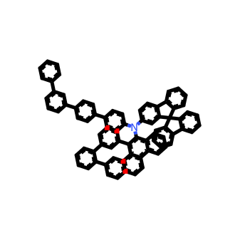 c1ccc(-c2cccc(-c3ccc(-c4ccc(N(c5ccc6c(c5)C5(c7ccccc7-c7ccccc75)c5ccccc5-6)c5c(-c6cccc(-c7ccccc7-c7ccccc7)c6)c6ccccc6c6ccccc56)cc4)cc3)c2)cc1